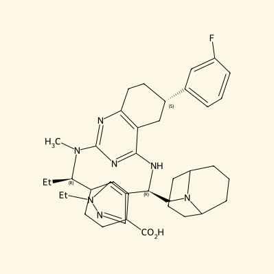 CC[C@H](C1CCC(C(=O)O)CC1)N(C)c1nc2c(c(N[C@@H](CN3C4CCCC3CCC4)c3cnn(CC)c3)n1)C[C@@H](c1cccc(F)c1)CC2